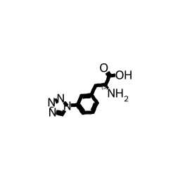 N[C@@H](Cc1cccc(-n2cnnn2)c1)C(=O)O